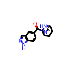 O=C(c1ccc2[nH]ncc2c1)N1CC2CCC1CN2